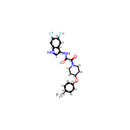 O=C(Nc1c[nH]c2cc(F)c(F)cc12)C(=O)N1CCC(Oc2ccc(C(F)(F)F)cc2)CC1